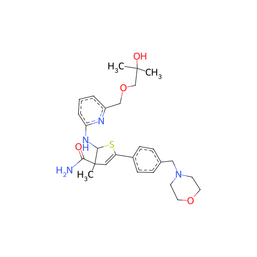 CC(C)(O)COCc1cccc(NC2SC(c3ccc(CN4CCOCC4)cc3)=CC2(C)C(N)=O)n1